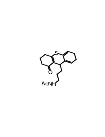 CC(=O)NCCCC1C2=CCCC=C2SC2=C1C(=O)CCC2